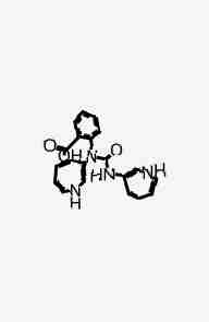 O=C(O)c1ccccc1N(C(=O)NC1=CNC=CC=C1)C1=CNC=CC=C1